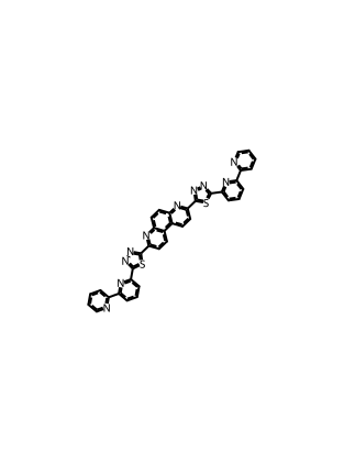 c1ccc(-c2cccc(-c3nnc(-c4ccc5c(ccc6nc(-c7nnc(-c8cccc(-c9ccccn9)n8)s7)ccc65)n4)s3)n2)nc1